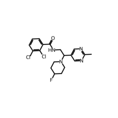 Cc1ncc(C(CNC(=O)c2cccc(Cl)c2Cl)N2CCC(F)CC2)cn1